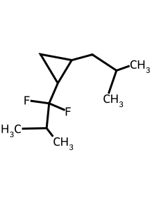 CC(C)CC1CC1C(F)(F)C(C)C